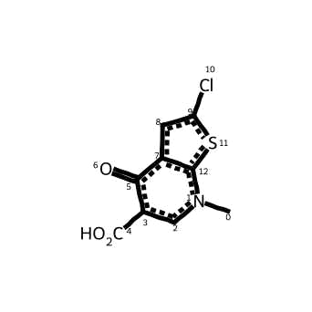 Cn1cc(C(=O)O)c(=O)c2cc(Cl)sc21